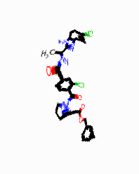 CC(NC(=O)c1ccc(C(=O)N2CCCC2C(=O)OCc2ccccc2)c(Cl)c1)c1nc2cc(Cl)ccc2[nH]1